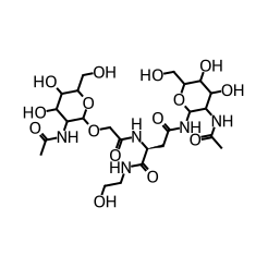 CC(=O)NC1C(NC(=O)C[C@H](NC(=O)COC2OC(CO)C(O)C(O)C2NC(C)=O)C(=O)NCCO)OC(CO)C(O)C1O